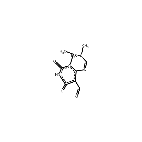 CCn1c(/N=C\N(C)C)c(C=O)c(=O)[nH]c1=O